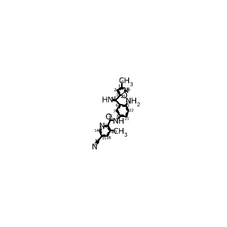 Cc1cc(C(=N)c2cc(NC(=O)c3ncc(C#N)cc3C)ccc2N)on1